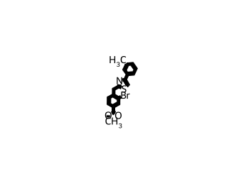 COC(=O)c1ccc(Cc2nc(-c3cccc(C)c3)cs2)c(Br)c1